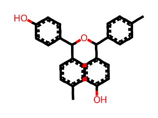 Cc1ccc(C(OC(c2ccc(C)cc2)c2ccc(O)cc2)c2ccc(O)cc2)cc1